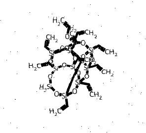 C=CO[Si]1(C=C)O[Si]2(C=C)O[Si]3(C=C)O[SiH2]O[Si]4(C=C)O[Si](C=C)(O1)O[Si]1(C=C)O[Si](C=C)(O4)O[Si](C=C)(O3)O[Si](C=C)(O2)O1